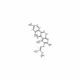 C/C(=C/Cc1c(O)cc2occ(-c3ccc(O)cc3O)c(=O)c2c1O)CO